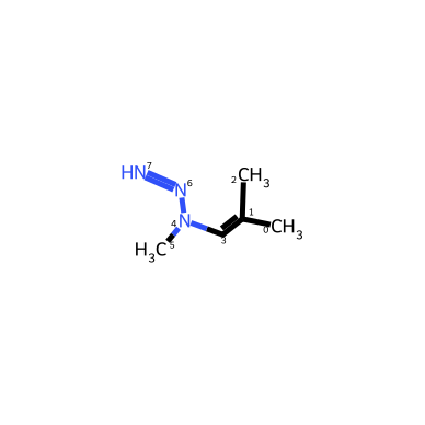 CC(C)=CN(C)N=N